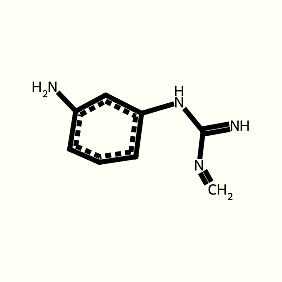 C=NC(=N)Nc1cccc(N)c1